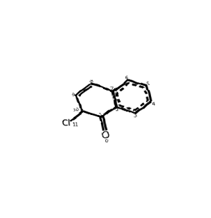 O=C1c2ccccc2C=CC1Cl